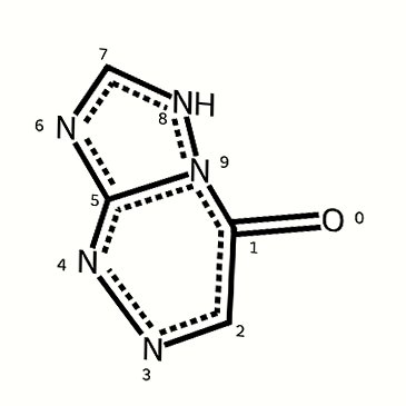 O=c1cnnc2nc[nH]n12